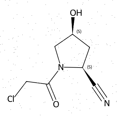 N#C[C@@H]1C[C@H](O)CN1C(=O)CCl